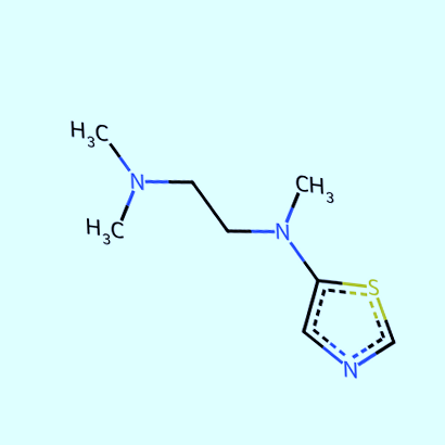 CN(C)CCN(C)c1cncs1